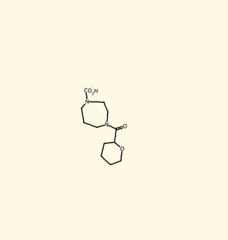 O=C(O)N1CCCN(C(=O)C2CCCCO2)CC1